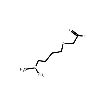 CN(C)CCCCOCC([O])=O